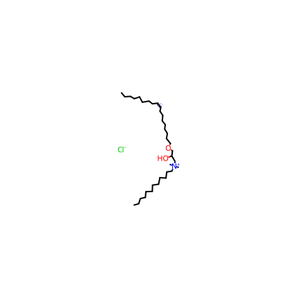 CCCCCCCC/C=C\CCCCCCCCOCC(O)C[N+](C)(C)CCCCCCCCCCCC.[Cl-]